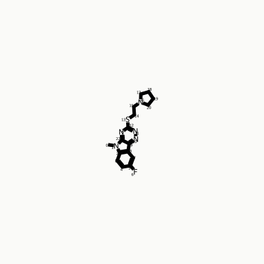 Cn1c2ccc(F)cc2c2nnc(SCCN3CCCC3)nc21